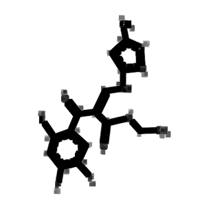 CCOC(=O)C(=CNc1cc(C)no1)C(=O)c1cc(F)c(F)cc1F